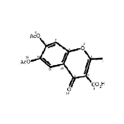 CC(=O)Oc1cc2oc(C)c(C(=O)O)c(=O)c2cc1OC(C)=O